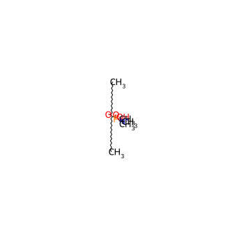 CCCCCCCCCCCCCCCCC(C(=O)CCCCCCCCCCCCCCC)C(=O)[P-]C(O)C[N+](C)(C)C